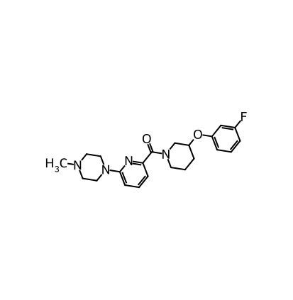 CN1CCN(c2cccc(C(=O)N3CCCC(Oc4cccc(F)c4)C3)n2)CC1